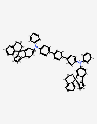 c1ccc(N(c2ccc(-c3ccc(-c4ccc(N(c5ccccc5)c5ccc6c(c5)C5(CCCc7ccccc75)c5ccccc5-6)cc4)cc3)cc2)c2ccc3c(c2)C2(CCCc4ccccc42)c2ccccc2-3)cc1